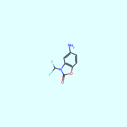 Nc1ccc2oc(=O)n(C(F)F)c2c1